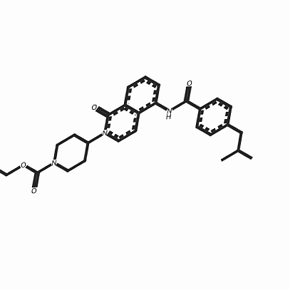 CCOC(=O)N1CCC(n2ccc3c(NC(=O)c4ccc(CC(C)C)cc4)cccc3c2=O)CC1